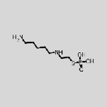 NCCCCCNCCSP(=O)(O)O